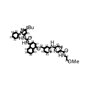 COCCNC(=O)c1cnc(Nc2cc(COc3ccc(NC(=O)Nc4cc(C(C)(C)C)nn4-c4ccccc4)c4ccccc34)ccn2)cn1